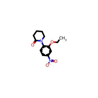 CCOc1cc([N+](=O)[O-])ccc1N1CCCCC1=O